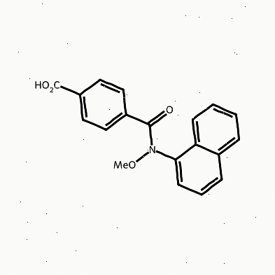 CON(C(=O)c1ccc(C(=O)O)cc1)c1cccc2ccccc12